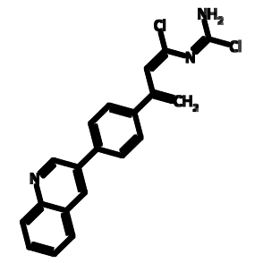 C=C(/C=C(Cl)\N=C(/N)Cl)c1ccc(-c2cnc3ccccc3c2)cc1